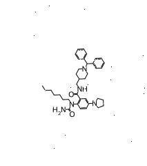 CCCCCCCN(C(N)=O)c1ccc(N2CCCC2)cc1C(=O)NCC1CCN(C(c2ccccc2)c2ccccc2)CC1